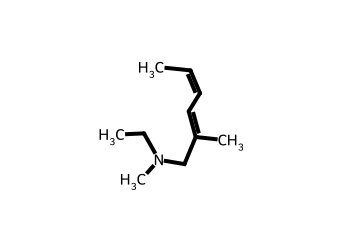 C/C=C\C=C(/C)CN(C)CC